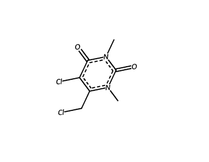 Cn1c(CCl)c(Cl)c(=O)n(C)c1=O